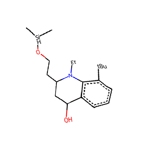 CCN1c2c(cccc2C(C)(C)C)C(O)CC1CCO[SiH](C)C